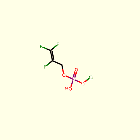 O=P(O)(OCl)OCC(F)=C(F)F